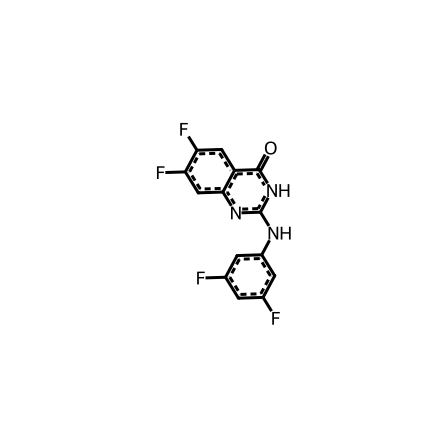 O=c1[nH]c(Nc2cc(F)cc(F)c2)nc2cc(F)c(F)cc12